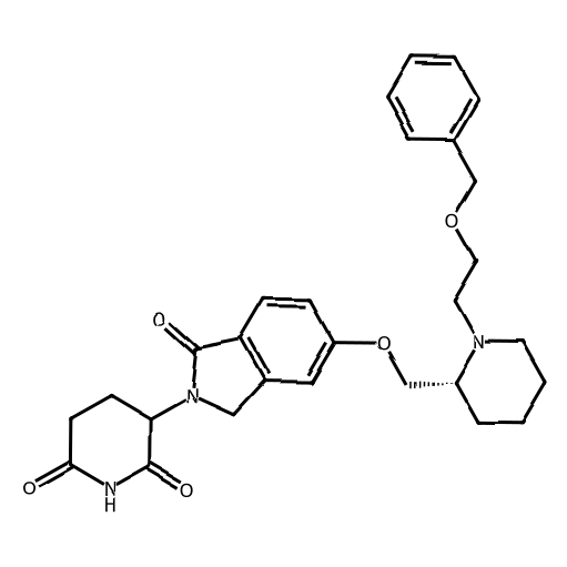 O=C1CCC(N2Cc3cc(OC[C@H]4CCCCN4CCOCc4ccccc4)ccc3C2=O)C(=O)N1